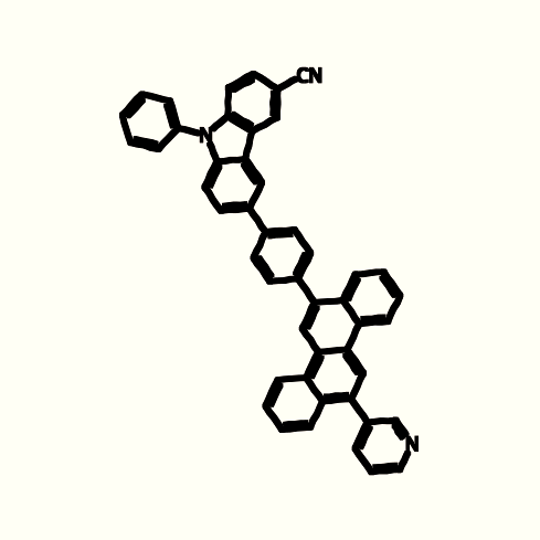 N#Cc1ccc2c(c1)c1cc(-c3ccc(-c4cc5c6ccccc6c(-c6cccnc6)cc5c5ccccc45)cc3)ccc1n2-c1ccccc1